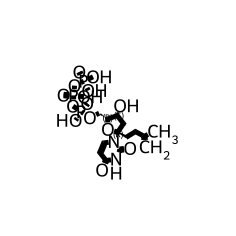 C=C(C)CC[C@]1(n2ccc(=O)[nH]c2=O)C[C@H](O)[C@@H](COP(=O)(O)OP(=O)(O)OP(=O)(O)O)O1